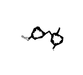 COc1ccc(Cc2cc(I)ccc2C)cc1